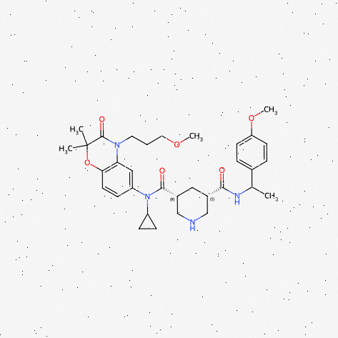 COCCCN1C(=O)C(C)(C)Oc2ccc(N(C(=O)[C@H]3CNC[C@@H](C(=O)NC(C)c4ccc(OC)cc4)C3)C3CC3)cc21